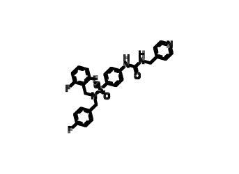 O=C(NCc1ccncc1)Nc1ccc(S(=O)(=O)N(Cc2ccc(F)cc2)Cc2c(F)cccc2F)cc1